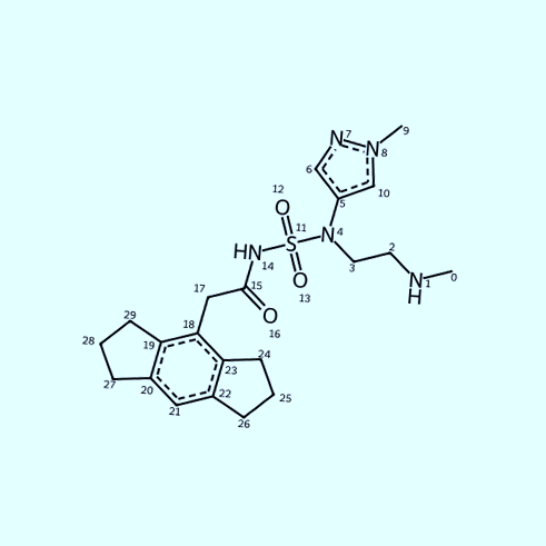 CNCCN(c1cnn(C)c1)S(=O)(=O)NC(=O)Cc1c2c(cc3c1CCC3)CCC2